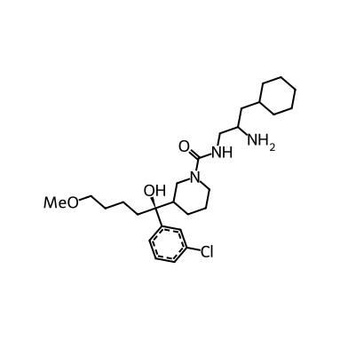 COCCCC[C@@](O)(c1cccc(Cl)c1)C1CCCN(C(=O)NCC(N)CC2CCCCC2)C1